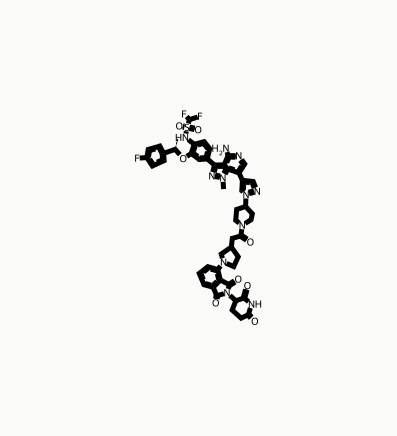 C[C@H](Oc1cc(-c2nn(C)c3c(-c4cnn(C5CCN(C(=O)CC6CCN(c7cccc8c7C(=O)N(C7CCC(=O)NC7=O)C8=O)C6)CC5)c4)cnc(N)c23)ccc1NS(=O)(=O)C(F)F)c1ccc(F)cc1